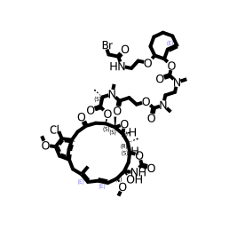 COc1cc2cc(c1Cl)CC(=O)C[C@H](OC(=O)[C@H](C)N(C)C(=O)CCOC(=O)N(C)CCN(C)C(=O)OC1/C=C/CCCCC1OCCNC(=O)CBr)[C@]1(C)O[C@H]1[C@H](C)[C@@H]1C[C@@](O)(NC(=O)O1)[C@H](OC)/C=C/C=C(\C)C2